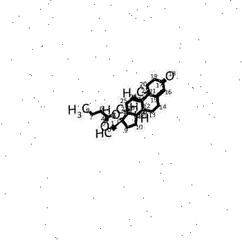 C#C[C@]1(OC(=O)CCC)CC[C@H]2[C@@H]3CCC4=CC(=O)CC[C@]4(C)C3=CC[C@@]21C